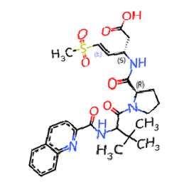 CC(C)(C)C(NC(=O)c1ccc2ccccc2n1)C(=O)N1CCC[C@@H]1C(=O)N[C@H](/C=C/S(C)(=O)=O)CC(=O)O